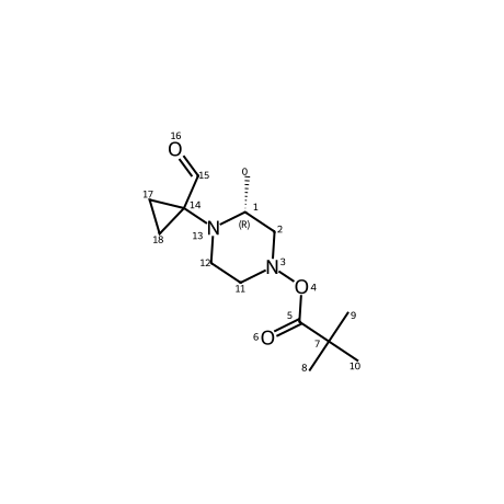 C[C@@H]1CN(OC(=O)C(C)(C)C)CCN1C1(C=O)CC1